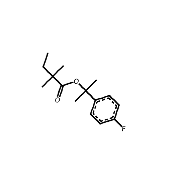 CCC(C)(C)C(=O)OC(C)(C)c1ccc(F)cc1